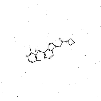 Cc1ccnc(C)c1Nc1nccc2c1ccn2CC(=O)N1CCC1